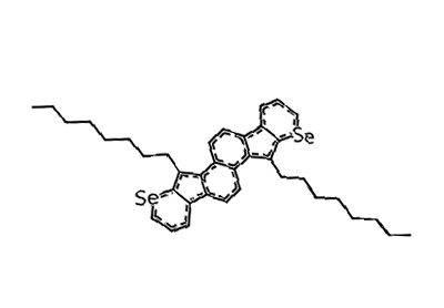 CCCCCCCCc1c2[se]cccc-2c2ccc3c(ccc4c5ccc[se]c-5c(CCCCCCCC)c43)c12